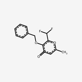 Cc1cc(=O)c(OCc2ccccc2)c(C(F)F)o1